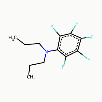 CCCN(CCC)c1c(F)c(F)c(F)c(F)c1F